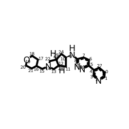 c1cncc(-c2ccc(N[C@H]3C[C@@H]4CN(CC5CCOCC5)C[C@@H]4C3)nn2)c1